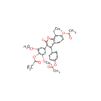 CCc1c(OC(C)=O)ccc2c(-c3ccc(OC(C)=O)cc3)c(-c3cc(OC)c(OC(C)=O)c(OC)c3)c(=O)oc12